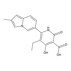 CCc1c(-c2ccc3cc(C)cn3c2)[nH]c(=O)c(C(=O)O)c1O